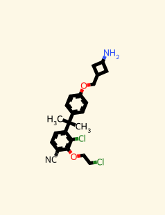 CC(C)(c1ccc(OCC2CC(N)C2)cc1)c1ccc(C#N)c(OCCCl)c1Cl